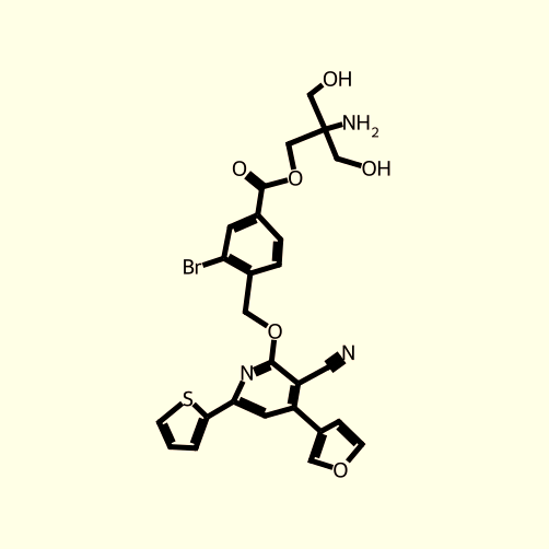 N#Cc1c(-c2ccoc2)cc(-c2cccs2)nc1OCc1ccc(C(=O)OCC(N)(CO)CO)cc1Br